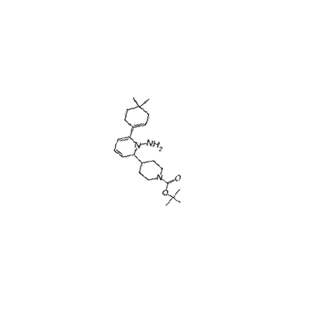 CC1(C)CC=C(C2=CC=CC(C3CCN(C(=O)OC(C)(C)C)CC3)N2N)CC1